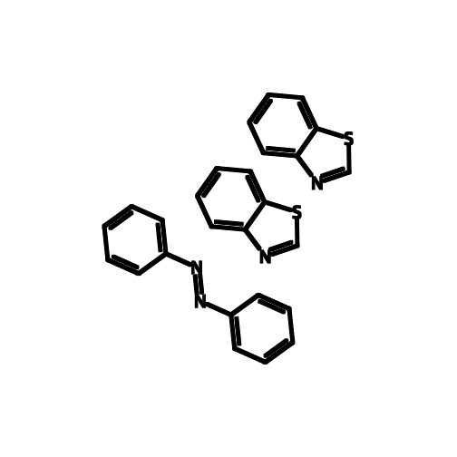 c1ccc(N=Nc2ccccc2)cc1.c1ccc2scnc2c1.c1ccc2scnc2c1